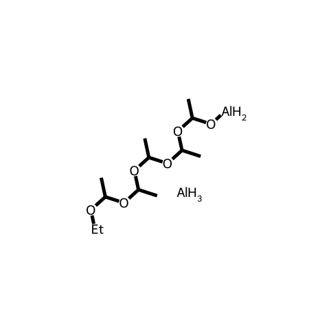 CCOC(C)OC(C)OC(C)OC(C)OC(C)[O][AlH2].[AlH3]